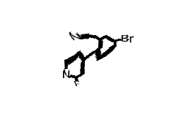 N#Cc1cc(Br)ccc1-c1ccnc(F)c1